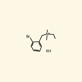 CC[N+](C)(C)Cc1ccccc1Br.[KH]